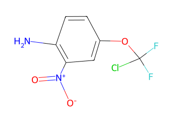 Nc1ccc(OC(F)(F)Cl)cc1[N+](=O)[O-]